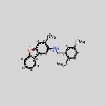 COc1ccc(OC)c(CNc2cc3c(cc2OC)oc2ccccc23)c1